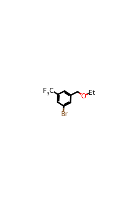 CCOCc1cc(Br)cc(C(F)(F)F)c1